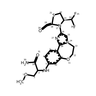 COCC(Nc1ccc2c(c1)OCCn1cc(N3C(=C=O)SC[C@H]3C(F)F)nc1-2)C(N)=O